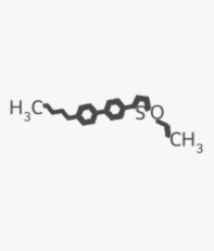 C/C=C/COc1ccc(-c2ccc(-c3ccc(CCCCC)cc3)cc2)s1